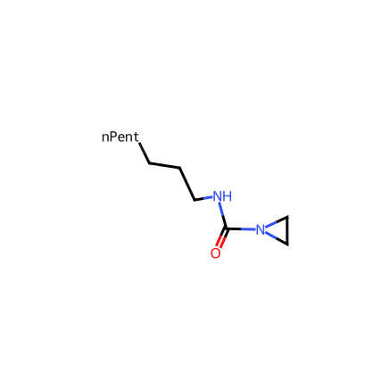 CCCCCCCCNC(=O)N1CC1